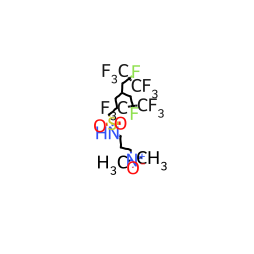 C[N+](C)([O-])CCCNS(=O)(=O)CCCC(CC(F)(C(F)(F)F)C(F)(F)F)CC(F)(C(F)(F)F)C(F)(F)F